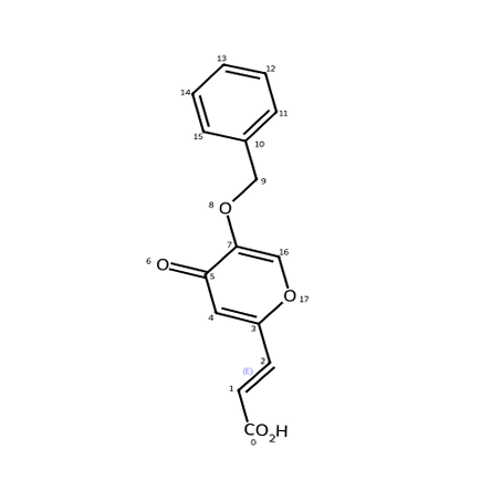 O=C(O)/C=C/c1cc(=O)c(OCc2ccccc2)co1